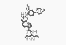 CCOc1cc(N2CCN(C)CC2)ccc1Nc1ncc2c(n1)-n1ccc(C(=O)Nc3c(CC)n[nH]c3CC)c1CC2